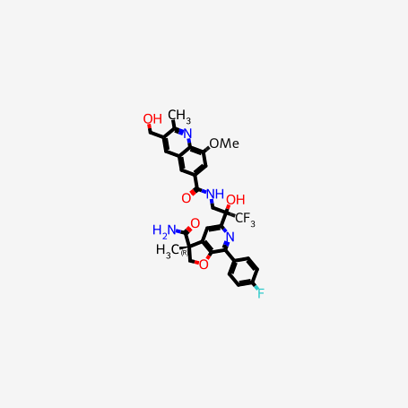 COc1cc(C(=O)NCC(O)(c2cc3c(c(-c4ccc(F)cc4)n2)OC[C@]3(C)C(N)=O)C(F)(F)F)cc2cc(CO)c(C)nc12